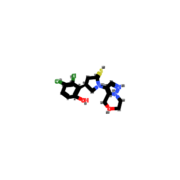 Oc1ccc(Cl)c(Cl)c1[C@H]1CC(=S)N(c2cnn3c2COCC3)C1